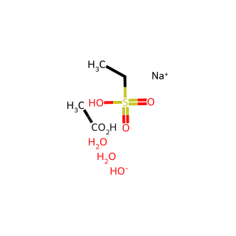 CC(=O)O.CCS(=O)(=O)O.O.O.[Na+].[OH-]